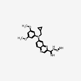 COc1cc(OC)cc(N(CC2CC2)c2ccc3ncc(C(=N)NN=N)nc3c2)c1